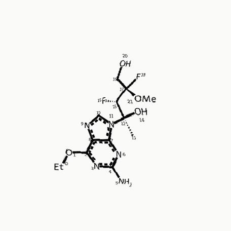 CCOc1nc(N)nc2c1ncn2[C@](C)(O)[C@H](F)[C@@](F)(CO)OC